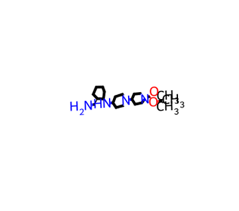 CC(C)(C)OC(=O)N1CCC(N2CCC(N[C@H]3CCCC[C@@H]3CN)CC2)CC1